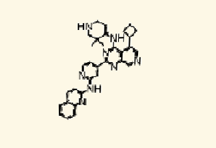 CC1(C)CNCC[C@H]1Nc1nc(-c2ccnc(Nc3ccc4ccccc4n3)c2)nc2cncc(C3CCC3)c12